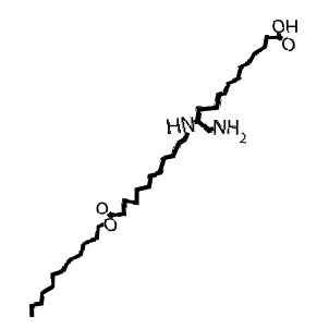 CCCCCCCCCCCCOC(=O)CCCCCCCCCCCNC(CN)CCCCCCCCCCCC(=O)O